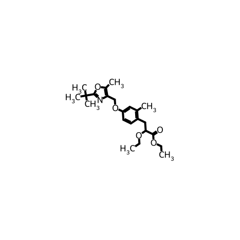 CCOC(=O)C(Cc1ccc(OCc2nc(C(C)(C)C)oc2C)cc1C)OCC